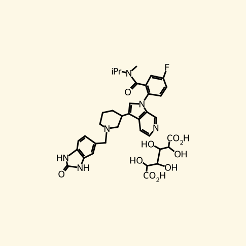 CC(C)N(C)C(=O)c1cc(F)ccc1-n1cc(C2CCCN(Cc3ccc4[nH]c(=O)[nH]c4c3)C2)c2ccncc21.O=C(O)C(O)C(O)C(O)C(O)C(=O)O